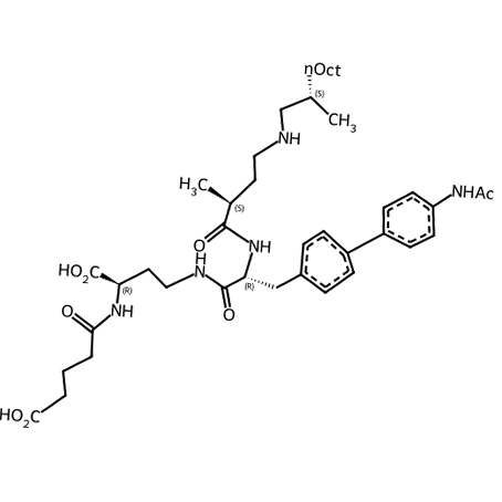 CCCCCCCC[C@H](C)CNCC[C@H](C)C(=O)N[C@H](Cc1ccc(-c2ccc(NC(C)=O)cc2)cc1)C(=O)NCC[C@@H](NC(=O)CCCC(=O)O)C(=O)O